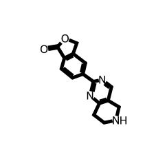 O=C1OCc2cc(-c3ncc4c(n3)CCNC4)ccc21